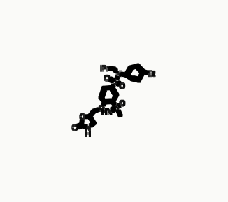 CCc1ccc(N(CC(C)C)S(=O)(=O)c2ccc(OCC3CNC(=O)O3)c(S(C)(=N)=O)c2)cc1